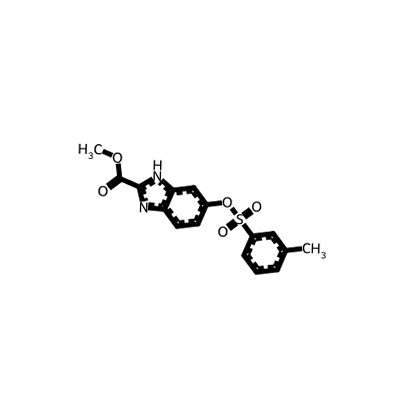 COC(=O)c1nc2ccc(OS(=O)(=O)c3cccc(C)c3)cc2[nH]1